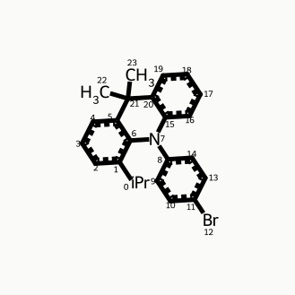 CC(C)c1cccc2c1N(c1ccc(Br)cc1)c1ccccc1C2(C)C